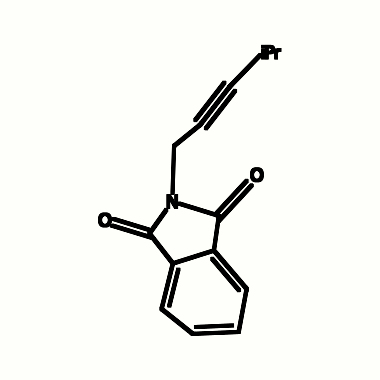 CC(C)C#CCN1C(=O)c2ccccc2C1=O